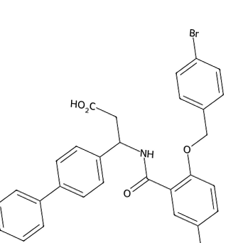 O=C(O)CC(NC(=O)c1cc(Br)ccc1OCc1ccc(Br)cc1)c1ccc(-c2ccccc2)cc1